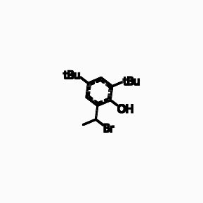 CC(Br)c1cc(C(C)(C)C)cc(C(C)(C)C)c1O